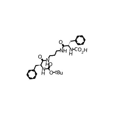 CC(C)(C)OC(=O)N[C@@H](Cc1ccccc1)C(=O)NCCCNC(=O)[C@H](Cc1ccccc1)NC(=O)O